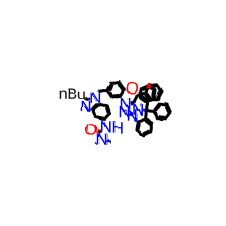 CCCCc1nc2cc(NC(=O)N(C)C)ccc2n1Cc1ccc(OC(c2ccccc2)c2nnnn2C(c2ccccc2)(c2ccccc2)c2ccccc2)cc1